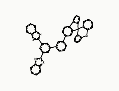 c1cc(-c2cc(-c3nc4ccccc4s3)cc(-c3nc4ccccc4s3)c2)cc(-c2ccc3c(c2)C2(c4ccccc4Sc4ccccc42)c2ccccc2-3)c1